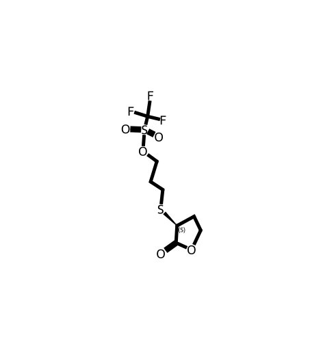 O=C1OCC[C@@H]1SCCCOS(=O)(=O)C(F)(F)F